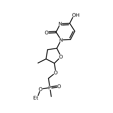 CCOP(C)(=O)COC1OC(n2ccc(O)nc2=O)CC1C